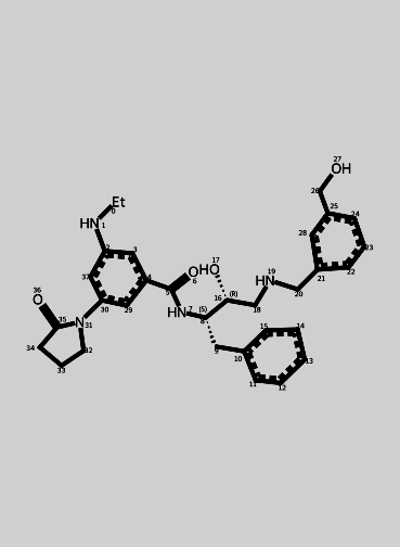 CCNc1cc(C(=O)N[C@@H](Cc2ccccc2)[C@H](O)CNCc2cccc(CO)c2)cc(N2CCCC2=O)c1